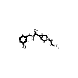 O=C(NCc1cccc(Cl)c1)C1C2CN(CCC(F)(F)F)CC21